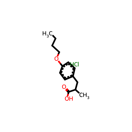 CCCCOc1ccc(CC(C)C(=O)O)cc1.Cl